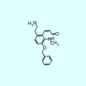 CNc1c(OCc2ccccc2)ccc(CCN)c1/C=C\C=O